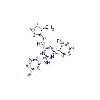 C[C@@H]1COC[C@@H]1CNc1nc(Nc2cncc(F)c2)nc(-c2ccccc2F)n1